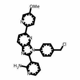 COc1ccc(-c2ccc3nc(-c4cccnc4N)n(-c4ccc(CCl)cc4)c3n2)nc1